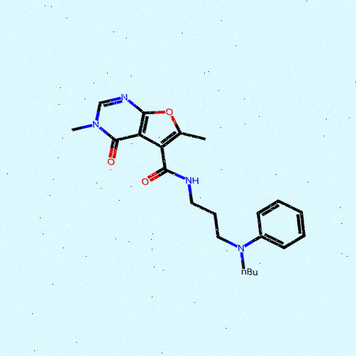 CCCCN(CCCNC(=O)c1c(C)oc2ncn(C)c(=O)c12)c1ccccc1